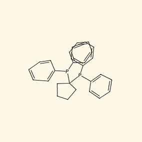 c1ccc(P(c2ccccc2)C2(P(c3ccccc3)c3ccccc3)CCCC2)cc1